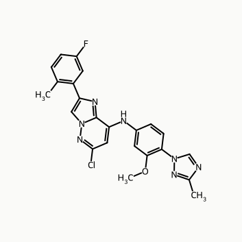 COc1cc(Nc2cc(Cl)nn3cc(-c4cc(F)ccc4C)nc23)ccc1-n1cnc(C)n1